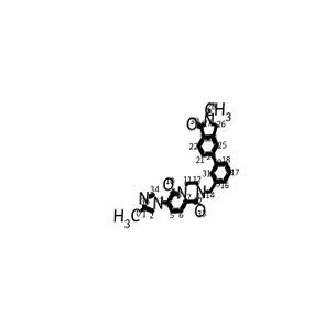 Cc1cn(-c2ccc3n(c2=O)CCN(Cc2cccc(-c4ccc5c(c4)CN(C)C5=O)c2)C3=O)cn1